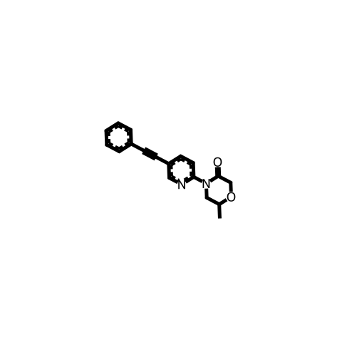 CC1CN(c2ccc(C#Cc3ccccc3)cn2)C(=O)CO1